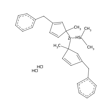 C[SiH](C)[Zr]([C]1(C)C=CC(Cc2ccccc2)=C1)[C]1(C)C=CC(Cc2ccccc2)=C1.Cl.Cl